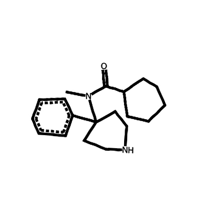 CN(C(=O)C1CCCCC1)C1(c2ccccc2)CCNCC1